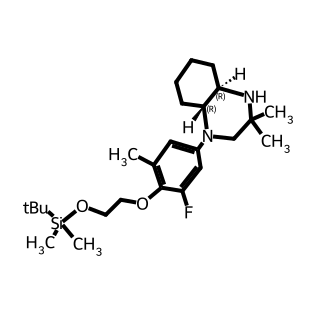 Cc1cc(N2CC(C)(C)N[C@@H]3CCCC[C@H]32)cc(F)c1OCCO[Si](C)(C)C(C)(C)C